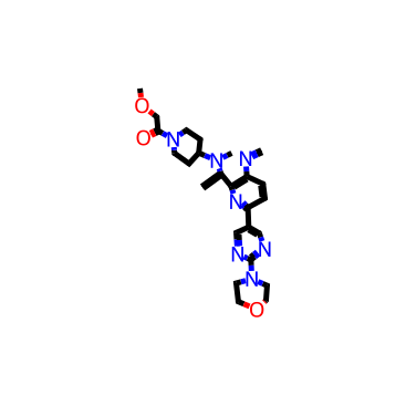 C=Nc1ccc(-c2cnc(N3CCOCC3)nc2)nc1C(=C)N(C)C1CCN(C(=O)COC)CC1